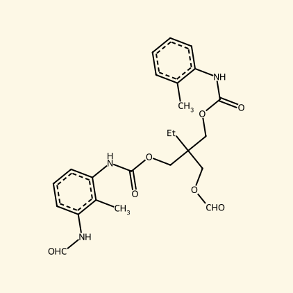 CCC(COC=O)(COC(=O)Nc1ccccc1C)COC(=O)Nc1cccc(NC=O)c1C